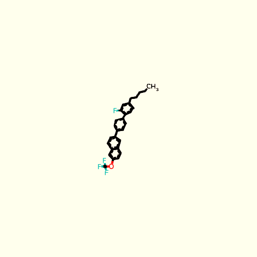 CCCCCc1ccc(-c2ccc(-c3ccc4cc(OC(F)(F)F)ccc4c3)cc2)c(F)c1